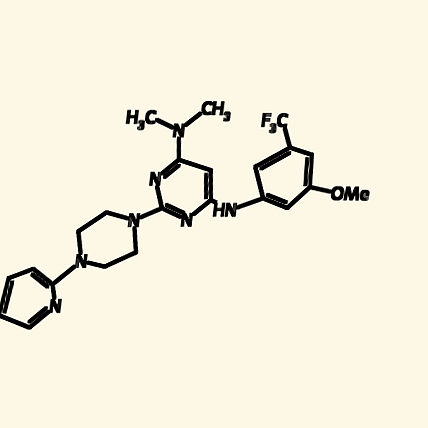 COc1cc(Nc2cc(N(C)C)nc(N3CCN(c4ccccn4)CC3)n2)cc(C(F)(F)F)c1